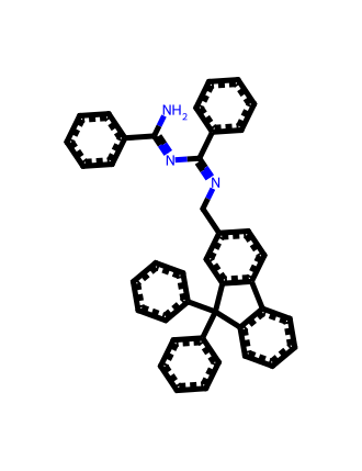 N/C(=N\C(=N/Cc1ccc2c(c1)C(c1ccccc1)(c1ccccc1)c1ccccc1-2)c1ccccc1)c1ccccc1